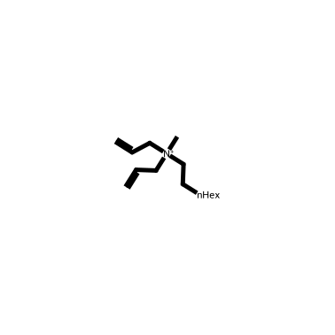 C=CC[N+](C)(CC=C)CCCCCCCC